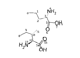 CCC[C@H](N)C(=O)O.CC[C@H](C)[C@H](N)C(=O)O